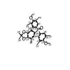 COc1c(C)cc(P(=O)(c2cc(C)c(OC)c(C)c2)c2cc(C)c3c(c2I)OC(C)(C)O3)cc1C